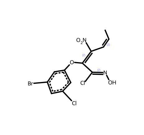 C\C=C/C(=C(Oc1cc(Cl)cc(Br)c1)\C(Cl)=N\O)[N+](=O)[O-]